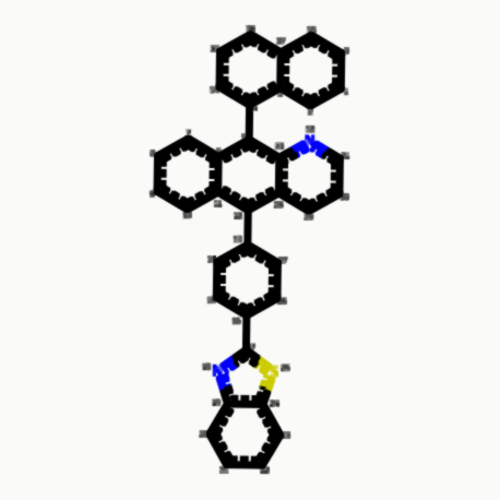 c1ccc2c(-c3c4ccccc4c(-c4ccc(-c5nc6ccccc6s5)cc4)c4cccnc34)cccc2c1